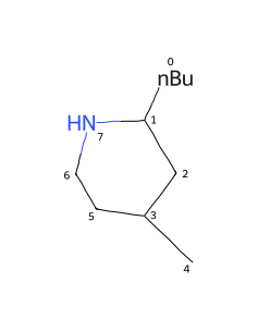 CCCCC1CC(C)CCN1